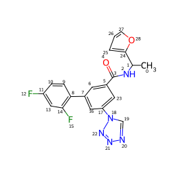 CC(NC(=O)c1cc(-c2ccc(F)cc2F)cc(-n2cnnn2)c1)c1ccco1